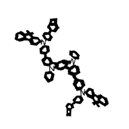 CC1(C)c2ccccc2-c2ccc(N(c3ccc(-c4ccc5c(c4)CC5)cc3)c3ccc(-c4ccc5c(c4)c4cc6c(cc4n5-c4ccccc4)c4cc(-c5ccc(N(c7ccc(-c8ccc9c(c8)CC9)cc7)c7ccc8c(c7)C(C)(C)c7ccccc7-8)cc5)ccc4n6-c4ccccc4)cc3)cc21